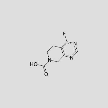 O=C(O)N1CCc2c(F)ncnc2C1